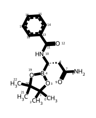 CC1(C)OB([C@@H](CC(N)=O)NC(=O)c2ccccc2)OC1(C)C